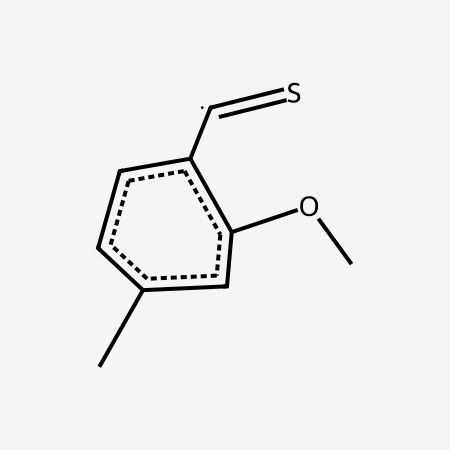 COc1cc(C)ccc1[C]=S